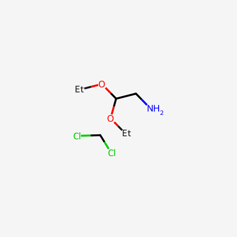 CCOC(CN)OCC.ClCCl